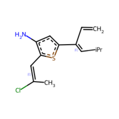 C=C/C(=C\C(C)C)c1cc(N)c(/C=C(\C)Cl)s1